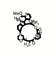 CCn1c(-c2cccnc2[C@H](C)OC)c2c3cc(ccc31)N1CCO[C@H](CC(C)C(=O)N3CCC[C@H](N3)C(=O)OCC(C)(C)C2)C1